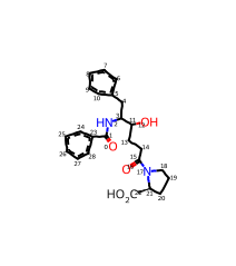 O=C(NC(Cc1ccccc1)C(O)CCC(=O)N1CCC[C@H]1C(=O)O)c1ccccc1